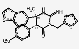 CC(C)(C)c1ccc([C@H]2C(=O)N(Cc3nccs3)C(=N)N[C@]2(C)c2ccc3sccc3c2)cc1